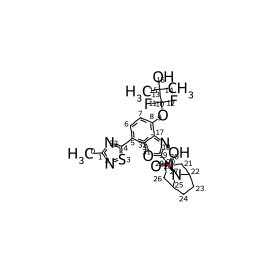 Cc1nsc(-c2ccc(OC(F)(F)C(C)(C)O)c3nc(N4CC5CCC(C4)N5C(=O)O)oc23)n1